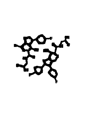 O=C(O)CNC(=O)c1nc(Br)c2scc(-c3ccc(F)cc3)c2c1O.O=C(O)CNC(=O)c1ncc2c(-c3ccc(F)cc3)c(-c3ccc(F)cc3)sc2c1O